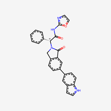 O=C(Nc1ncco1)[C@@H](c1ccccc1)N1Cc2ccc(-c3ccc4[nH]ccc4c3)cc2C1=O